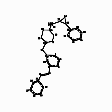 C(=C\c1cccc(CN2CCC(NC3CC3c3ccccc3)CC2)c1)/c1ccccc1